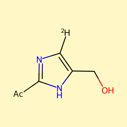 [2H]c1nc(C(C)=O)[nH]c1CO